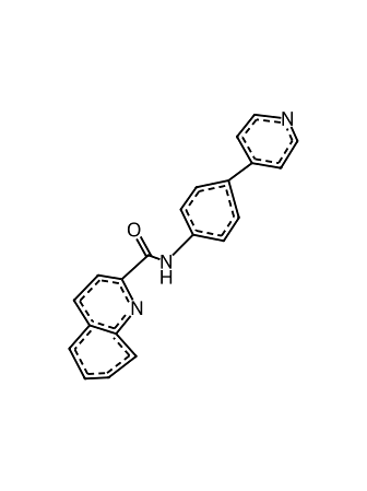 O=C(Nc1ccc(-c2ccncc2)cc1)c1ccc2ccccc2n1